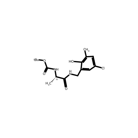 Cc1cc(Cl)cc(CNC(=O)[C@H](C)NC(=O)OC(C)(C)C)c1O